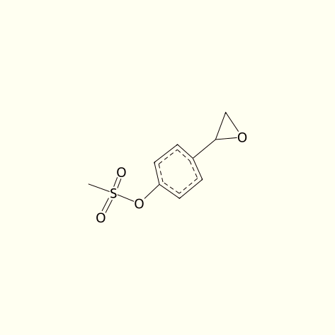 CS(=O)(=O)Oc1ccc(C2CO2)cc1